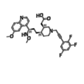 CON[C@H](CC[C@@H]1CCN(CC#Cc2cc(F)cc(F)c2F)C[C@@H]1CC(=O)O)c1ccnc2ccc(OC)cc12